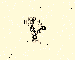 CC1CCC(N(CCOCc2ccccc2Cl)C(=O)Nc2ncc(SCC(C)(C)C(=O)O)s2)CC1